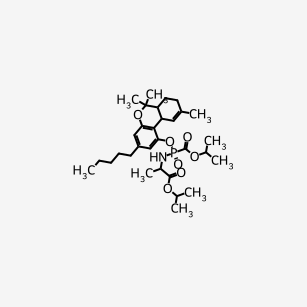 CCCCCc1cc2c(c(OP(=O)(NC(C)C(=O)OC(C)C)C(=O)OC(C)C)c1)C1C=C(C)CCC1C(C)(C)O2